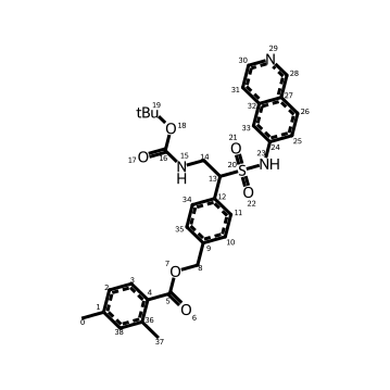 Cc1ccc(C(=O)OCc2ccc(C(CNC(=O)OC(C)(C)C)S(=O)(=O)Nc3ccc4cnccc4c3)cc2)c(C)c1